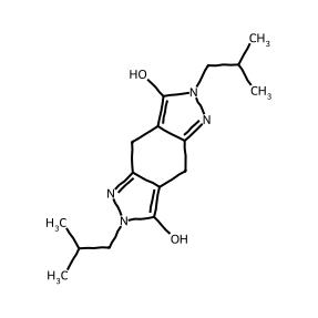 CC(C)Cn1nc2c(c1O)Cc1nn(CC(C)C)c(O)c1C2